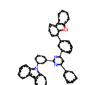 c1ccc(-c2cc(-c3cccc(-c4cccc5c4oc4ccccc45)c3)nc(-c3cccc(-n4c5ccccc5c5ccccc54)c3)n2)cc1